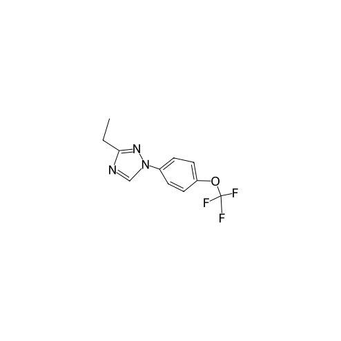 CCc1ncn(-c2ccc(OC(F)(F)F)cc2)n1